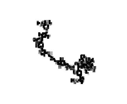 Cc1ncsc1-c1ccc(CNC(=O)[C@@H]2C[C@@H](O)CN2C(=O)[C@@H](NC(=O)C2(F)CC2)C(C)(C)C)c(OCCNC(=O)CN2C[C@H]3CN(CCOCCNc4cc(N5CCC6(CC5)CN(c5cc(F)c(CN7CCC(C)(C)CC7)cc5F)CC(=O)N6)ncn4)C[C@H]3C2)c1